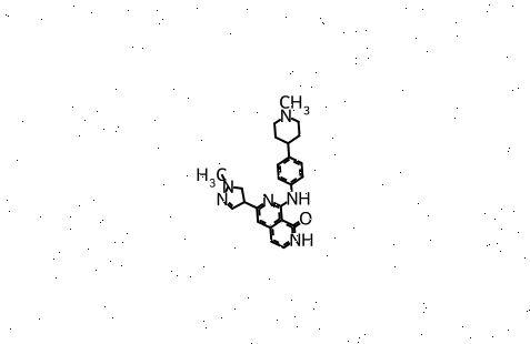 CN1CCC(c2ccc(Nc3nc(C4C=NN(C)C4)cc4cc[nH]c(=O)c34)cc2)CC1